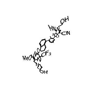 COc1nc(O[C@H]2CCc3c(-c4cccc(-c5nc6c(=N)n(CCO)cc(C#N)c6o5)c4C)cccc32)c(C(F)(F)F)nc1CN1CC[C@@H](O)C1